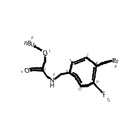 CCCCOC(=O)Nc1ccc(Br)c(F)c1